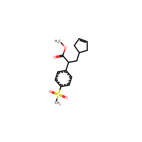 COC(=O)C(CC1CC=CC1)c1ccc(S(C)(=O)=O)cc1